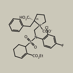 CCOC(=O)C1=CCCCC1S(=O)(=O)N(C[N+]1(C(=O)[O-])CCC[C@@]1(Cc1ccccc1)C(=O)O)c1ccc(F)cc1Cl